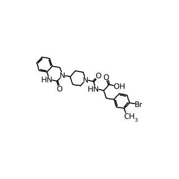 Cc1cc(CC(NC(=O)N2CCC(N3Cc4ccccc4NC3=O)CC2)C(=O)O)ccc1Br